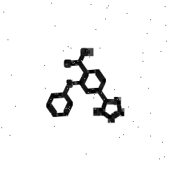 O=C(O)c1ccc(-c2nnn[nH]2)cc1Sc1ccccc1